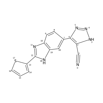 N#Cc1[nH]nnc1-c1ccc2nc(-c3cccs3)[nH]c2c1